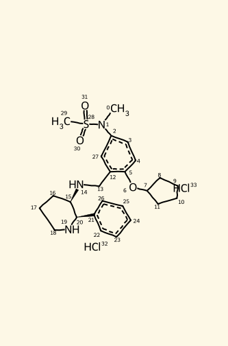 CN(c1ccc(OC2CCCC2)c(CN[C@@H]2CCCN[C@@H]2c2ccccc2)c1)S(C)(=O)=O.Cl.Cl